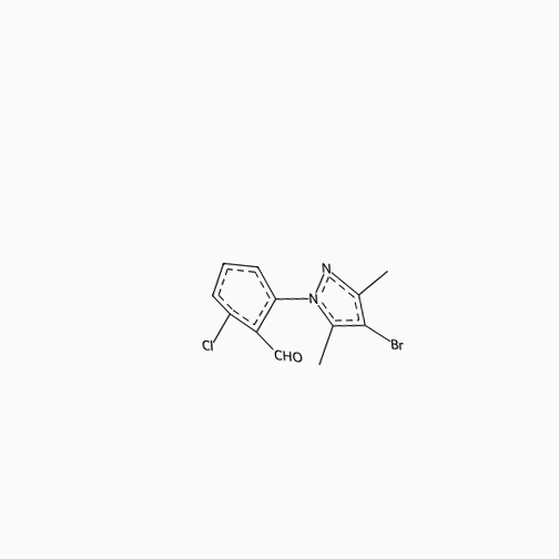 Cc1nn(-c2cccc(Cl)c2C=O)c(C)c1Br